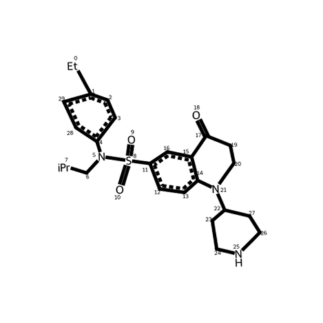 CCc1ccc(N(CC(C)C)S(=O)(=O)c2ccc3c(c2)C(=O)CCN3C2CCNCC2)cc1